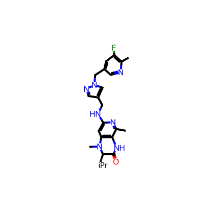 Cc1ncc(Cn2cc(CNc3cc4c(c(C)n3)NC(=O)C(C(C)C)N4C)cn2)cc1F